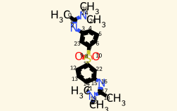 CC(=Nc1cccc(S(=O)(=O)c2cccc(N=C(C)N(C)C)c2)c1)N(C)C